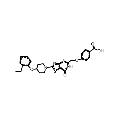 CCc1ccccc1OC1CCN(c2nc3nc(COc4ccc(C(=O)O)cc4)[nH]c(=O)c3s2)CC1